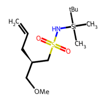 C=CC[C@H](COC)CS(=O)(=O)N[Si](C)(C)C(C)(C)C